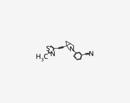 Cc1nc(C#CC23CC2CN(c2cccc(C#N)c2)C3)cs1